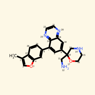 Cc1coc2cc(-c3cc(C4(CN)CNCCO4)cc4nccnc34)ccc12